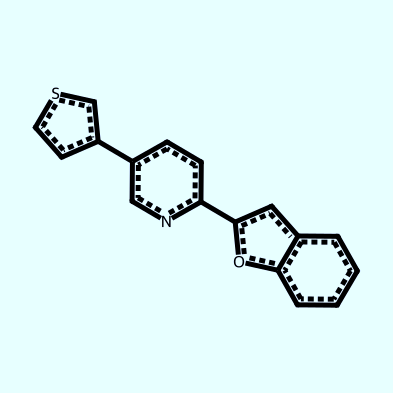 c1ccc2oc(-c3ccc(-c4ccsc4)cn3)cc2c1